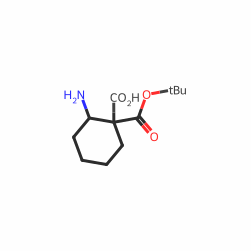 CC(C)(C)OC(=O)C1(C(=O)O)CCCCC1N